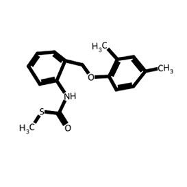 CSC(=O)Nc1ccccc1COc1ccc(C)cc1C